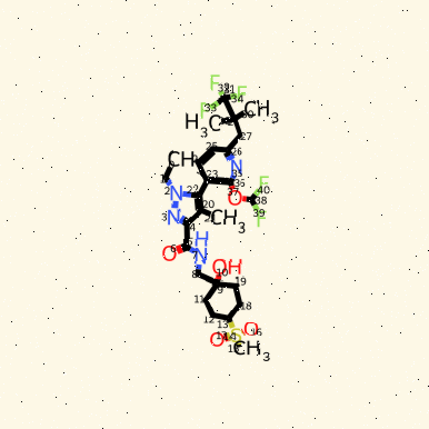 CCn1nc(C(=O)NCC2(O)CCC(S(C)(=O)=O)CC2)c(C)c1-c1ccc(CC(C)(C)C(F)(F)F)nc1OC(F)F